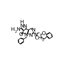 CN(C[C@H]1CCc2ccccc2O1)c1ncc2c3n[nH]c(N)c3c(=O)n(Cc3ccccc3)c2n1